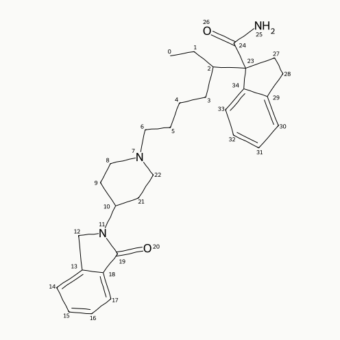 CCC(CCCCN1CCC(N2Cc3ccccc3C2=O)CC1)C1(C(N)=O)CCc2ccccc21